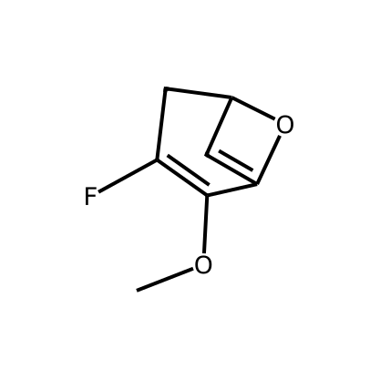 COC1=C(F)CC2C=C1O2